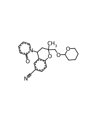 CC1(COC2CCCCO2)CC(n2ccccc2=O)c2cc(C#N)ccc2O1